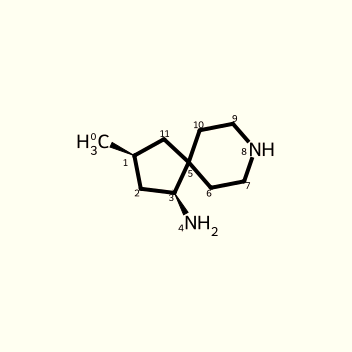 C[C@@H]1C[C@H](N)C2(CCNCC2)C1